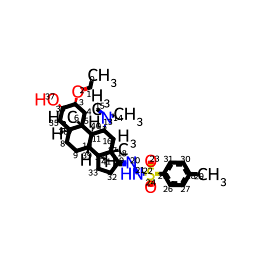 CCO[C@H]1C[C@@]2(C)[C@@H](CC[C@@H]3[C@@H]2[C@H](N(C)C)C[C@]2(C)C(=NNS(=O)(=O)c4ccc(C)cc4)CC[C@@H]32)C[C@@H]1O